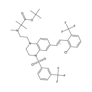 CN(CCN1CCN(S(=O)(=O)c2cccc(C(F)(F)F)c2)c2cc(/C=C/c3c(Cl)cccc3C(F)(F)F)ccc21)C(C)(C)C(=O)OC(C)(C)C